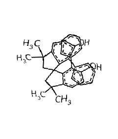 CC1(C)CC2(CC(C)(C)c3ccc(O)c(-c4ccccc4)c32)c2c1ccc(O)c2-c1ccccc1